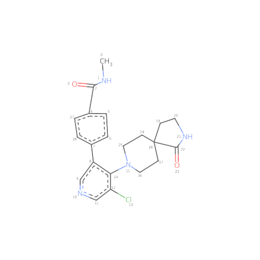 CNC(=O)c1ccc(-c2cncc(Cl)c2N2CCC3(CCNC3=O)CC2)cc1